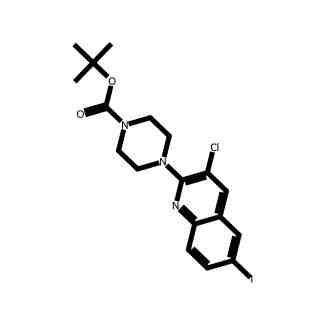 CC(C)(C)OC(=O)N1CCN(c2nc3ccc(I)cc3cc2Cl)CC1